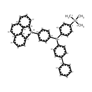 C[Si](C)(C)c1ccc(N(c2ccc(-c3ccccc3)cc2)c2ccc(-n3c4cccc5ccc6cccc3c6c54)cc2)cc1